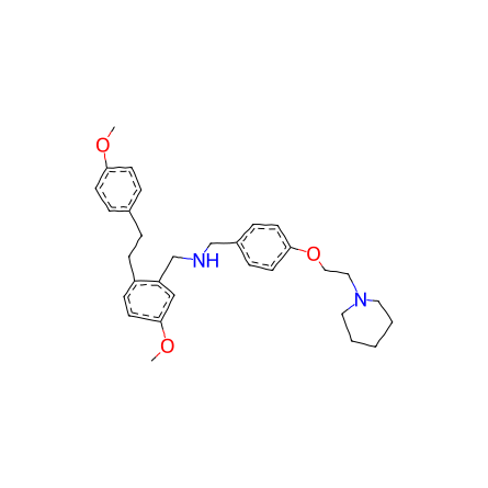 COc1ccc(CCc2ccc(OC)cc2CNCc2ccc(OCCN3CCCCC3)cc2)cc1